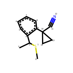 CSC(C)c1ccccc1C1(C#N)CC1